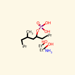 CC(C)CC(C)CC(CC(C)C)OP(=O)(O)O.CCO.CCO.N